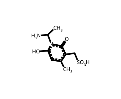 Cc1cc(O)n(C(C)N)c(=O)c1CS(=O)(=O)O